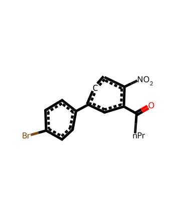 CCCC(=O)c1cc(-c2ccc(Br)cc2)ccc1[N+](=O)[O-]